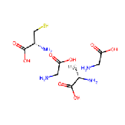 C[C@H](N)C(=O)O.NCC(=O)O.NCC(=O)O.N[C@@H](CS)C(=O)O